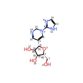 OC[C@H]1O[C@@H](C2=CN(c3ncc[nH]3)CN=C2)[C@H](O)[C@@H]1O